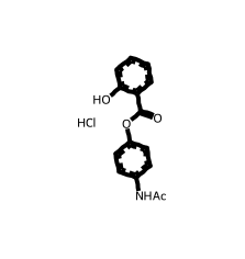 CC(=O)Nc1ccc(OC(=O)c2ccccc2O)cc1.Cl